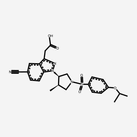 CC(C)Oc1ccc(S(=O)(=O)N2C[C@@H](C)[C@@H](n3nc(CC(=O)O)c4cc(C#N)ccc43)C2)cc1